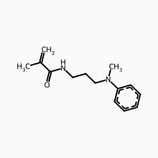 C=C(C)C(=O)NCCCN(C)c1ccccc1